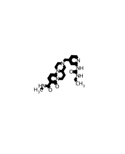 CCNC(=O)Nc1cc(CN2CCN3c4ccc(C(=O)NC)c(=O)n4CCC3C2)ccn1